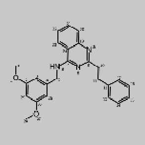 COc1cc(CNc2nc(CCc3ccccc3)nc3ccccc23)cc(OC)c1